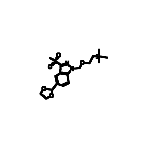 C[Si](C)(C)CCOCn1nc(S(C)(=O)=O)c2cc(C3OCCO3)ccc21